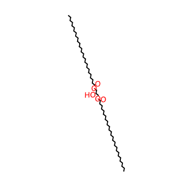 CCCCCCCCCCCCCCCCCCCCCCCCCCCC(=O)OCC(O)COC(=O)CCCCCCCCCCCCCCCCCCCCCCCCCCC